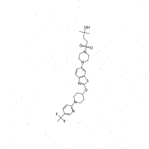 CC(C)(O)CCS(=O)(=O)N1CCN(c2ccc3nc(OC4CCN(c5ccc(C(C)(F)F)cn5)CC4)sc3c2)CC1